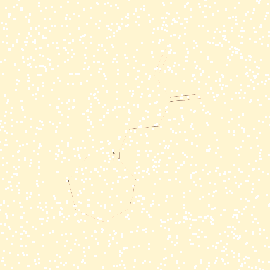 C=CC(=C)CCN1CCCCCC1